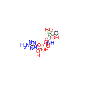 Nc1ncnc2c1ncn2[C@@H]1O[C@H](COS(=O)(=O)NC(=O)CC[C@]2(O)c3ccccc3[C@@H](O)C2(F)F)[C@@H](O)[C@H]1O